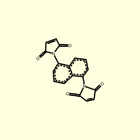 O=C1C=CC(=O)N1c1cccc2c(N3C(=O)C=CC3=O)cccc12